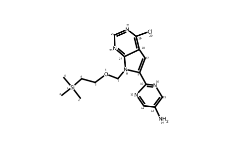 C[Si](C)(C)CCOCn1c(-c2ncc(N)cn2)cc2c(Cl)ncnc21